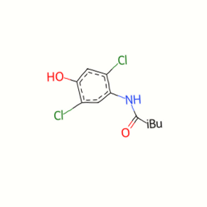 CCC(C)C(=O)Nc1cc(Cl)c(O)cc1Cl